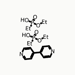 CCOP(=O)(O)CC.CCOP(=O)(O)CC.c1cc(-c2ccncc2)ccn1